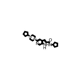 O=C(NC1CCCC1)c1cc2cc(N3CCN(C4CCCC4)CC3)ncc2[nH]1